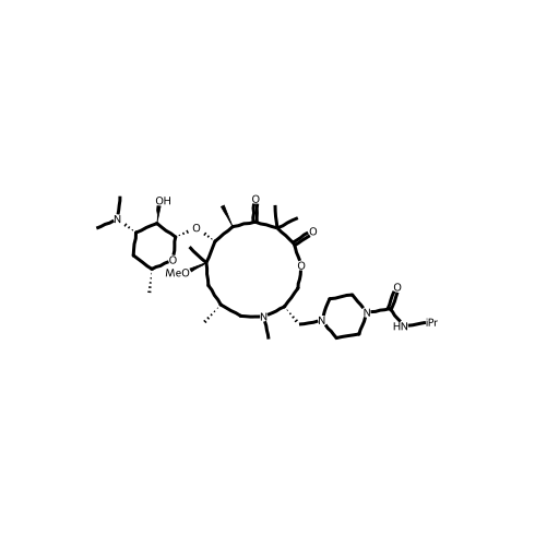 CO[C@]1(C)C[C@@H](C)CN(C)[C@@H](CN2CCN(C(=O)NC(C)C)CC2)COC(=O)C(C)(C)C(=O)[C@H](C)[C@H]1O[C@@H]1O[C@H](C)C[C@H](N(C)C)[C@H]1O